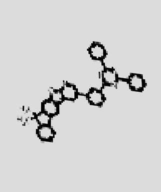 CC1(C)c2ccccc2-c2cc3c(cc21)oc1ncc(-c2cccc(-c4nc(-c5ccccc5)nc(-c5ccccc5)n4)c2)cc13